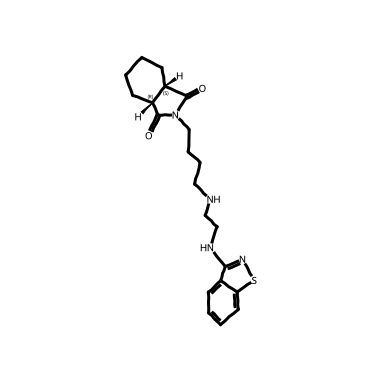 O=C1[C@H]2CCCC[C@H]2C(=O)N1CCCCNCCNc1nsc2ccccc12